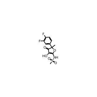 CC1(c2ccc(F)c(F)c2)OC(NS(C)(=O)=O)=C(O)C1=O